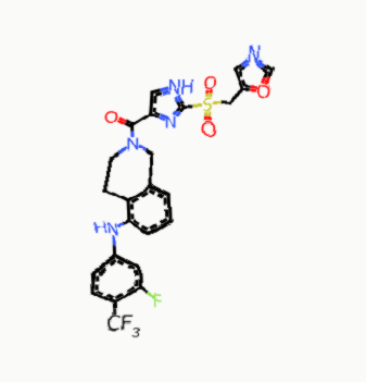 O=C(c1c[nH]c(S(=O)(=O)Cc2cnco2)n1)N1CCc2c(cccc2Nc2ccc(C(F)(F)F)c(F)c2)C1